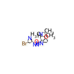 CO[C@]12C[C@@H](C)CN(C)[C@@H]1Cc1c(-c3nnc(-c4cncc(Br)c4)o3)[nH]c3cccc2c13